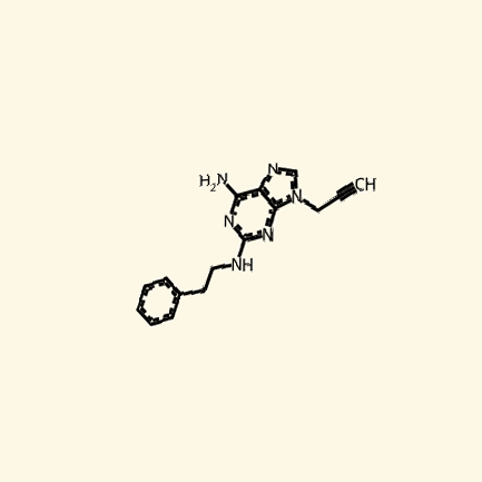 C#CCn1cnc2c(N)nc(NCCc3ccccc3)nc21